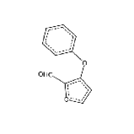 O=Cc1occc1Oc1ccccc1